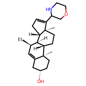 CC[C@@H]1C=C2C[C@@H](O)CC[C@]2(C)[C@H]2CC[C@]3(C)C(C4COCCN4)=CC[C@H]3[C@H]12